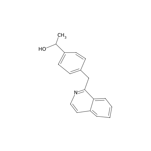 CC(O)c1ccc(Cc2nccc3ccccc23)cc1